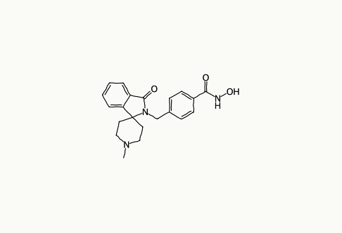 CN1CCC2(CC1)c1ccccc1C(=O)N2Cc1ccc(C(=O)NO)cc1